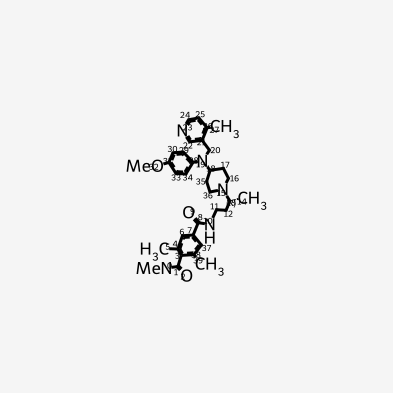 CNC(=O)c1c(C)cc(C(=O)NCC[C@@H](C)N2CCC(N(Cc3cnccc3C)c3ccc(OC)cc3)CC2)cc1C